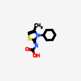 Cc1csc(=NC(=O)O)n1C1CCCCC1